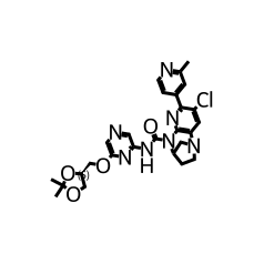 Cc1cc(-c2nc3c(cc2Cl)N2CCC(C2)N3C(=O)Nc2cncc(OC[C@H]3COC(C)(C)O3)n2)ccn1